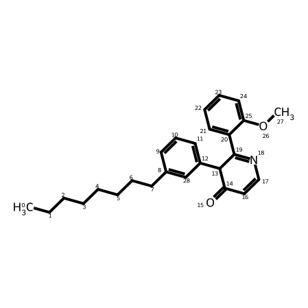 CCCCCCCCc1cccc(C2C(=O)C=CN=C2c2ccccc2OC)c1